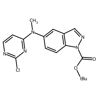 CN(c1ccc2c(cnn2C(=O)OC(C)(C)C)c1)c1ccnc(Cl)n1